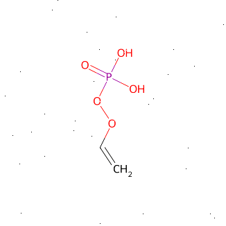 C=COOP(=O)(O)O